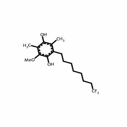 COc1c(C)c(O)c(C)c(CCCCCCCC(F)(F)F)c1O